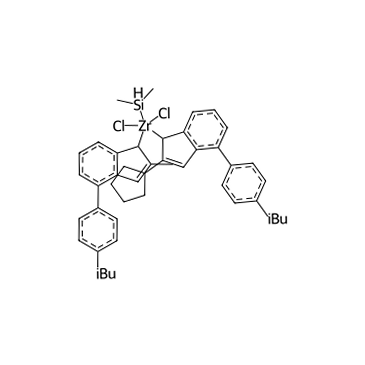 CCC(C)c1ccc(-c2cccc3c2C=C(C)[CH]3[Zr]([Cl])([Cl])([CH]2C(C3CCCC3)=Cc3c(-c4ccc(C(C)CC)cc4)cccc32)[SiH](C)C)cc1